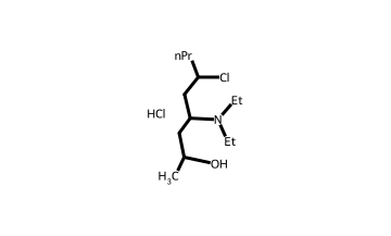 CCCC(Cl)CC(CC(C)O)N(CC)CC.Cl